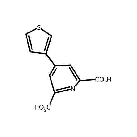 O=C(O)c1cc(-c2ccsc2)cc(C(=O)O)n1